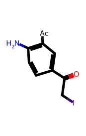 CC(=O)c1cc(C(=O)CI)ccc1N